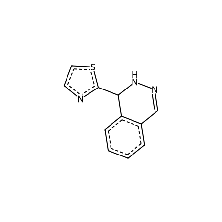 C1=NNC(c2nccs2)c2ccccc21